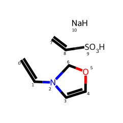 C=CN1C=COC1.C=CS(=O)(=O)O.[NaH]